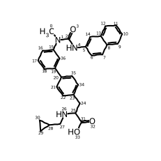 CN(C(=O)Nc1ccc2ccccc2c1)c1cccc(-c2ccc(CC(NCC3CC3)C(=O)O)cc2)c1